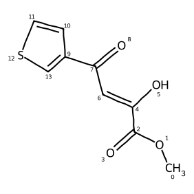 COC(=O)C(O)=CC(=O)c1ccsc1